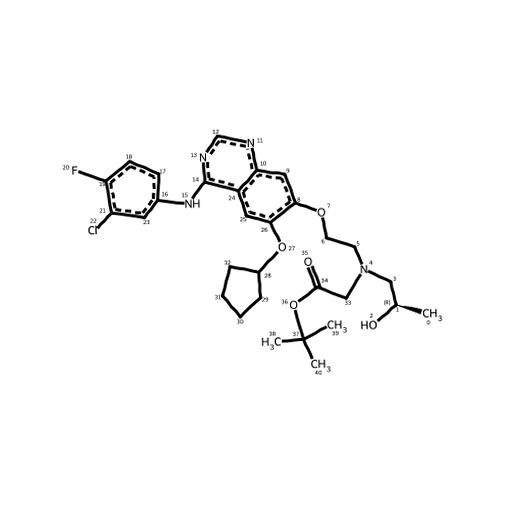 C[C@@H](O)CN(CCOc1cc2ncnc(Nc3ccc(F)c(Cl)c3)c2cc1OC1CCCC1)CC(=O)OC(C)(C)C